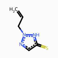 C=CCn1ncc(=S)[nH]1